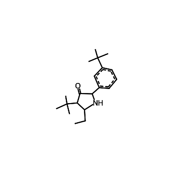 CCC1NC(c2cccc(C(C)(C)C)c2)C(=O)C1C(C)(C)C